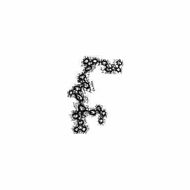 c1ccc(-c2cccc3c2sc2c(-c4cccc(-c5ccc6c7ccccc7c7cc(-c8ccc9sc%10c(-c%11ccc%12c%13ccccc%13c%13cc(-c%14cc(-c%15cccc(-c%16cccc%17c%16sc%16c(-c%18ccccc%18)cccc%16%17)c%15)c%15sc%16c(-c%17ccc%18c%19ccccc%19c%19ccccc%19c%18c%17)cccc%16c%15c%14)ccc%13c%12c%11)cccc%10c9c8)ccc7c6c5)c4)cccc23)cc1